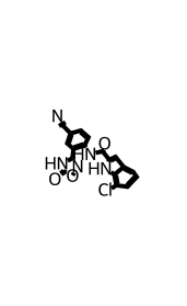 N#Cc1ccc(NC(=O)c2cc3cccc(Cl)c3[nH]2)c(-c2noc(=O)[nH]2)c1